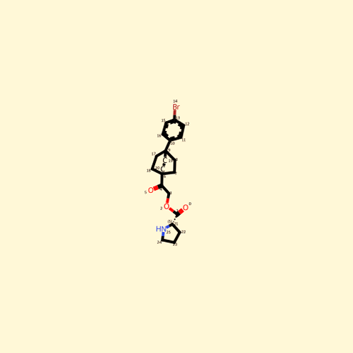 O=C(OCC(=O)C12CCC(c3ccc(Br)cc3)(CC1)CC2)[C@@H]1CCCN1